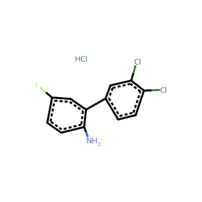 Cl.Nc1ccc(F)cc1-c1ccc(Cl)c(Cl)c1